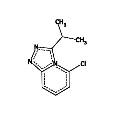 CC(C)c1nnc2cccc(Cl)n12